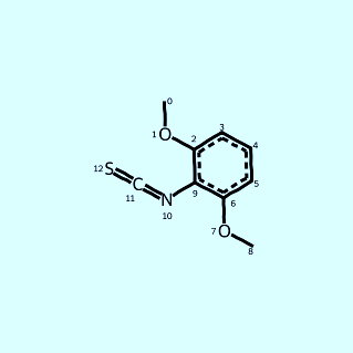 COc1cccc(OC)c1N=C=S